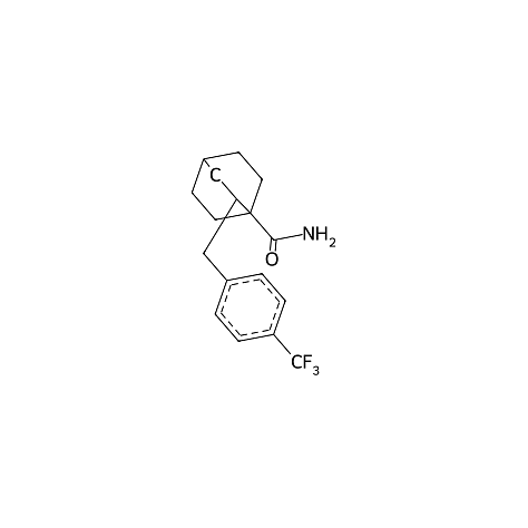 NC(=O)C12CCC(CC1)CC2Cc1ccc(C(F)(F)F)cc1